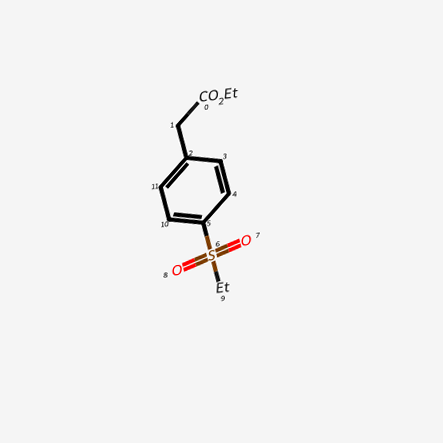 CCOC(=O)Cc1ccc(S(=O)(=O)CC)cc1